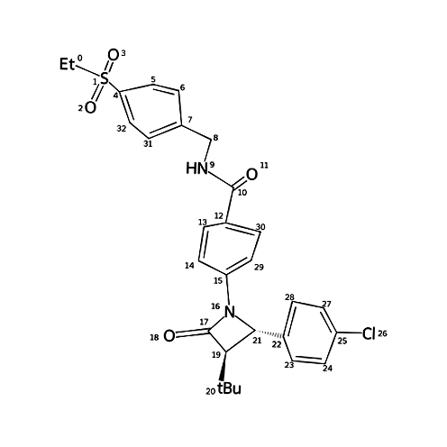 CCS(=O)(=O)c1ccc(CNC(=O)c2ccc(N3C(=O)[C@H](C(C)(C)C)[C@H]3c3ccc(Cl)cc3)cc2)cc1